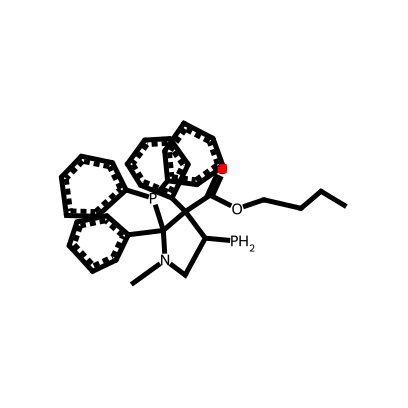 CCCCOC(=O)C1(c2ccccc2)C(P)CN(C)C1(c1ccccc1)P(c1ccccc1)c1ccccc1